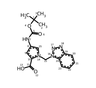 CC(C)(C)OC(=O)Nc1cc(C(=O)O)n(Cn2nnc3ccccc32)c1